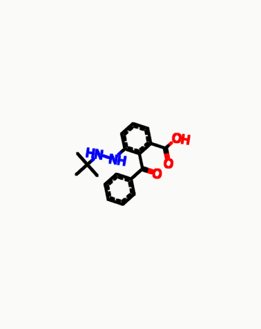 CC(C)(C)NNc1cccc(C(=O)O)c1C(=O)c1ccccc1